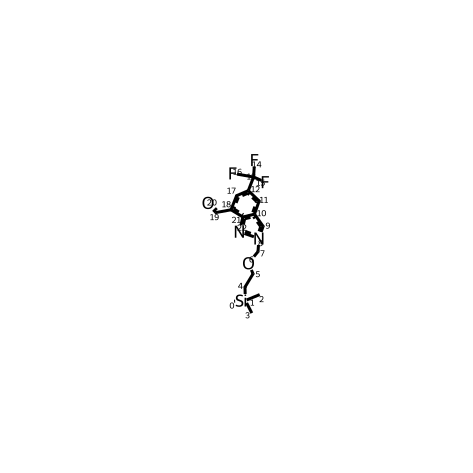 C[Si](C)(C)CCOCn1cc2cc(C(F)(F)F)cc(C=O)c2n1